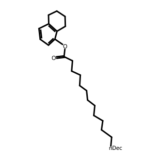 CCCCCCCCCCCCCCCCCCCCCC(=O)Oc1cccc2c1CCCC2